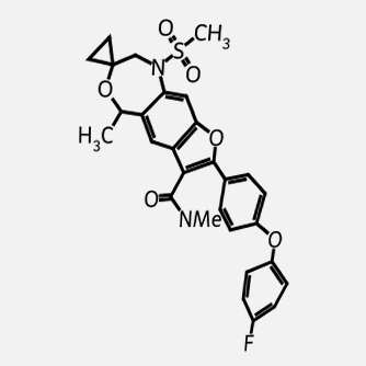 CNC(=O)c1c(-c2ccc(Oc3ccc(F)cc3)cc2)oc2cc3c(cc12)C(C)OC1(CC1)CN3S(C)(=O)=O